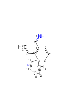 C=CC1=C(C=N)C=CCC1(C)/C=C\C